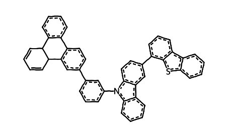 C1=CC2c3ccccc3-c3ccc(-c4cccc(-n5c6ccccc6c6cc(-c7cccc8c7sc7ccccc78)ccc65)c4)cc3C2C=C1